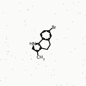 Cc1c[nH]c2c1CCc1cc(Br)ccc1-2